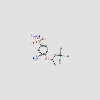 CNS(=O)(=O)c1ccc(OC(C)CC(F)(F)F)c(N)c1